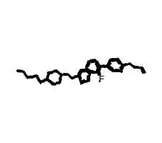 C=CCCc1ccc(-c2ccc3cc(CCC4CCC(CCCCC)CC4)ccc3c2F)cc1